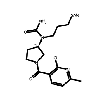 CSCCCN(C(N)=O)[C@@H]1CCN(C(=O)c2ccc(C)nc2Cl)C1